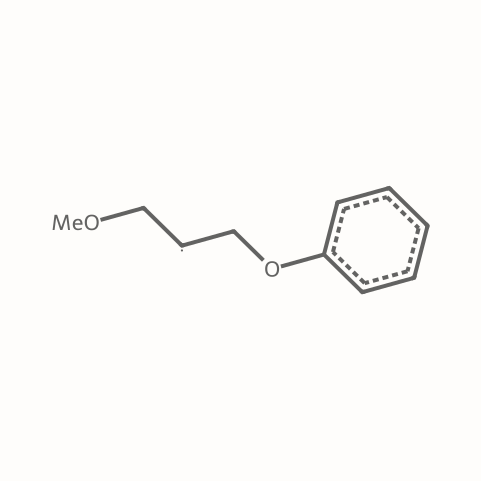 COC[CH]COc1ccccc1